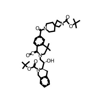 CC(C)(C)OC(=O)N1CC2(CCN(C(=O)c3ccc4c(c3)C(C)(C)CN(C[C@H](O)[C@H]3Cc5ccccc5CN3C(=O)OC(C)(C)C)C4=C=O)CC2)C1